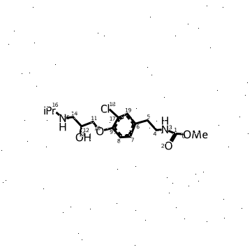 COC(=O)NCCc1ccc(OCC(O)CNC(C)C)c(Cl)c1